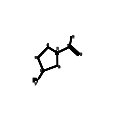 C=C(C)N1CCC(C(C)C)C1